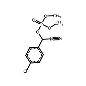 COP(=O)(OC)OC([N+]#N)c1ccc(Cl)cc1